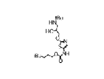 CCC(C)CCCOC(=O)Nc1cnc(OCC(O)CNC(C)(C)C)s1